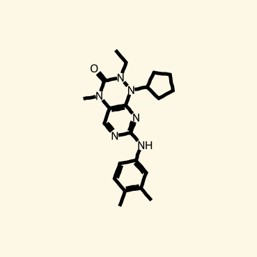 CCN1C(=O)N(C)c2cnc(Nc3ccc(C)c(C)c3)nc2N1C1CCCC1